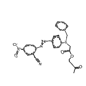 CC(=O)COC(=O)CN(Cc1ccccc1)c1ccc(/N=N/c2ccc([N+](=O)[O-])cc2C#N)cc1